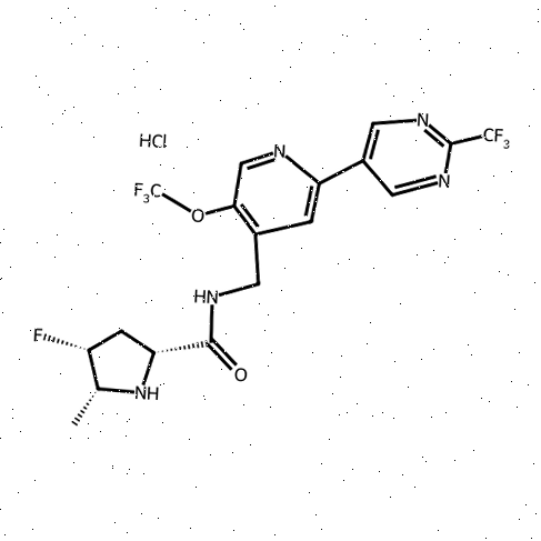 C[C@H]1N[C@@H](C(=O)NCc2cc(-c3cnc(C(F)(F)F)nc3)ncc2OC(F)(F)F)C[C@H]1F.Cl